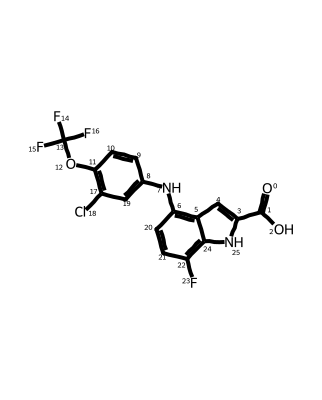 O=C(O)c1cc2c(Nc3ccc(OC(F)(F)F)c(Cl)c3)ccc(F)c2[nH]1